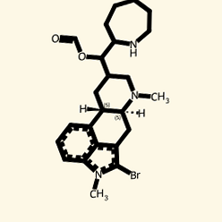 CN1CC(C(OC=O)C2CCCCCN2)C[C@H]2c3cccc4c3c(c(Br)n4C)C[C@@H]21